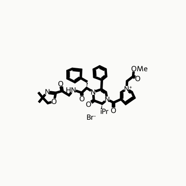 COC(=O)C[n+]1cccc(C(=O)N2C=C(c3ccccc3)N([C@@H](Cc3ccccc3)C(=O)NCC(=O)C3=NC(C)(C)CO3)C(=O)[C@H]2C(C)C)c1.[Br-]